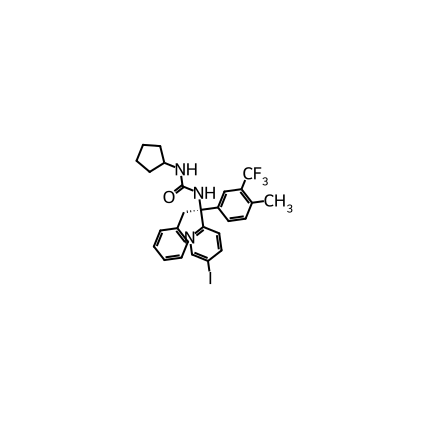 Cc1ccc([C@](Cc2ccccc2)(NC(=O)NC2CCCC2)c2ccc(I)cn2)cc1C(F)(F)F